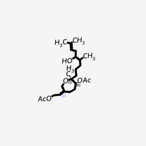 CC(=O)OC/C=C1/CC[C@@H](OC(C)=O)[C@](C)(CCCC(C)C(O)CC=C(C)C)OC1